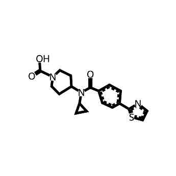 O=C(O)N1CCC(N(C(=O)c2ccc(-c3nccs3)cc2)C2CC2)CC1